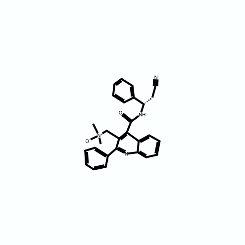 C[N+](C)([O-])Cc1c(-c2ccccc2)nc2ccccc2c1C(=O)N[C@@H](CC#N)c1ccccc1